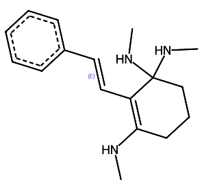 CNC1=C(/C=C/c2ccccc2)C(NC)(NC)CCC1